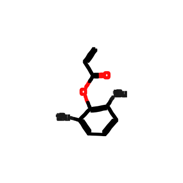 C=CC(=O)Oc1c(C(C)(C)C)cccc1C(C)(C)C